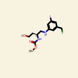 CC(C)(C)OC(=O)N[C@@H](CCO)CNc1cc(I)cc(CF)c1